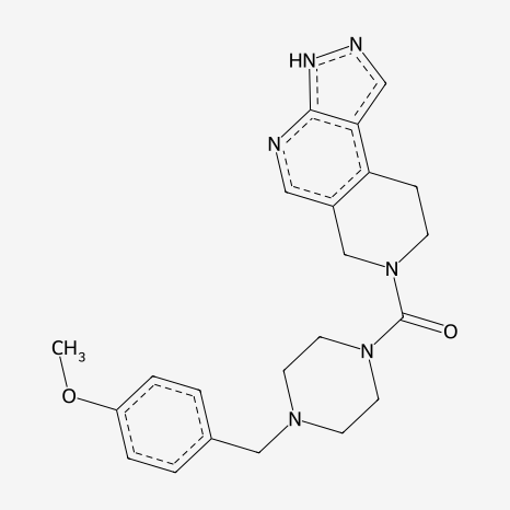 COc1ccc(CN2CCN(C(=O)N3CCc4c(cnc5[nH]ncc45)C3)CC2)cc1